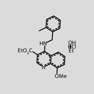 CCO.CCOC(=O)c1cnc2c(OC)cccc2c1NCc1ccccc1C.Cl